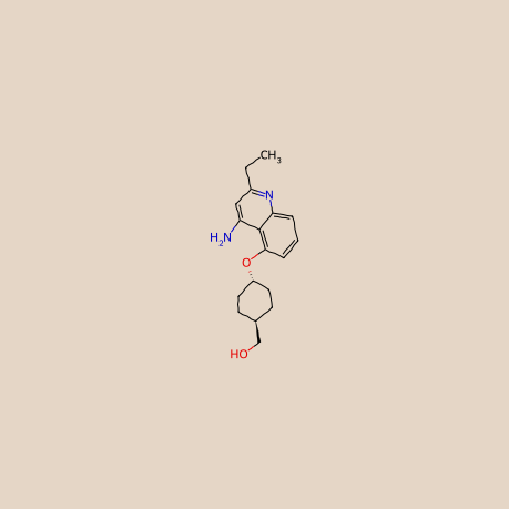 CCc1cc(N)c2c(O[C@H]3CC[C@H](CO)CC3)cccc2n1